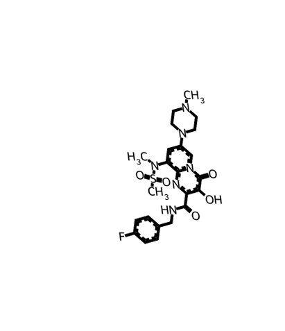 CN1CCN(c2cc(N(C)S(C)(=O)=O)c3nc(C(=O)NCc4ccc(F)cc4)c(O)c(=O)n3c2)CC1